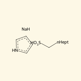 CCCCCCCCS(=O)(=O)O.[NaH].c1cc[nH]c1